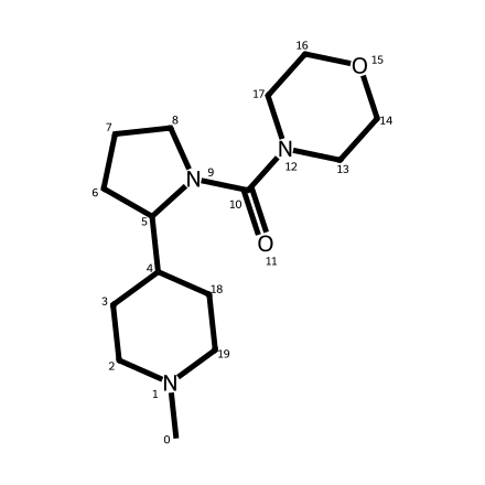 CN1CCC(C2CCCN2C(=O)N2CCOCC2)CC1